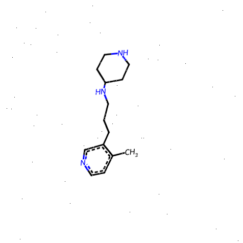 Cc1ccncc1CCCNC1CCNCC1